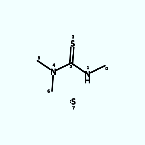 CNC(=S)N(C)C.[S]